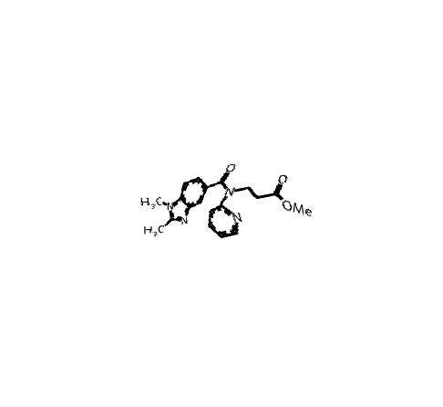 COC(=O)CCN(C(=O)c1ccc2c(c1)nc(C)n2C)c1ccccn1